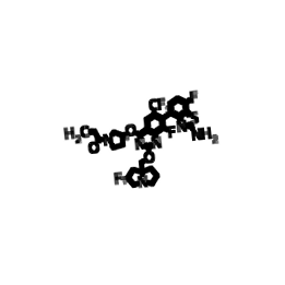 C=CC(=O)N1CC[C@H](Oc2nc(OCC34CCCN3C[C@H](F)C4)nc3c(F)c(-c4ccc(F)c5sc(N)nc45)c(C(F)(F)F)cc23)C1